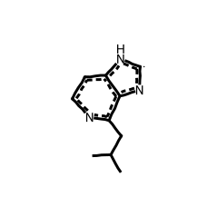 CC(C)Cc1nccc2[nH][c]nc12